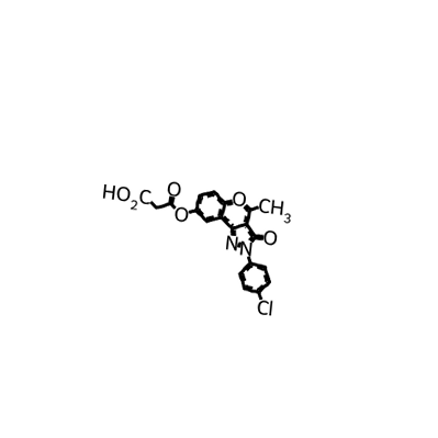 Cc1oc2ccc(OC(=O)CC(=O)O)cc2c2nn(-c3ccc(Cl)cc3)c(=O)c1-2